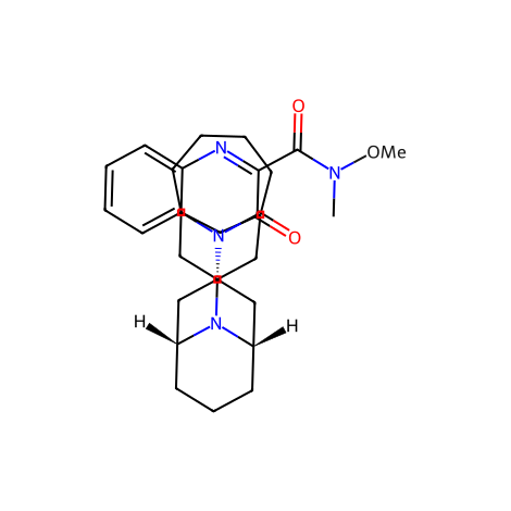 CON(C)C(=O)c1nc2ccccc2n([C@H]2C[C@H]3CCC[C@@H](C2)N3C2CC3CCCCC(C3)C2)c1=O